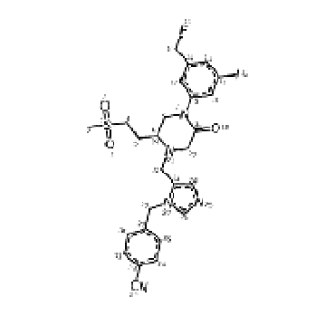 CS(=O)(=O)CC[C@H]1CN(c2cc(I)cc(CF)c2)C(=O)CN1Cc1cncn1Cc1ccc(C#N)cc1